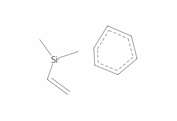 C=C[Si](C)C.c1ccccc1